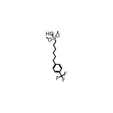 CO[Si](O)(CCCCCCc1ccc(C(F)(F)F)cc1)OC